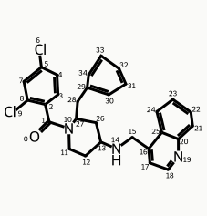 O=C(c1ccc(Cl)cc1Cl)N1CCC(NCc2ccnc3ccccc23)CC1Cc1ccccc1